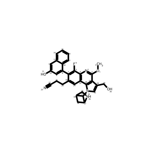 COc1nc2c(F)c(-c3cc(O)cc4ccccc34)c(CCC#N)cc2c2c1c(CO)cn2C1C2CNC1C2